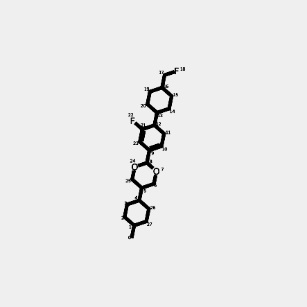 CC1CCC(C2COC(C3=CCC(C4CCC(CF)CC4)C(F)=C3)OC2)CC1